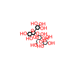 O=c1c(O[C@@H]2O[C@H](CCO)[C@@H](O[C@@H]3O[C@H](CO)[C@H](O)C[C@H]3O)[C@H](O)[C@H]2O)c(-c2cc(O)c(O)c(O)c2)oc2cc(O)cc(O)c12